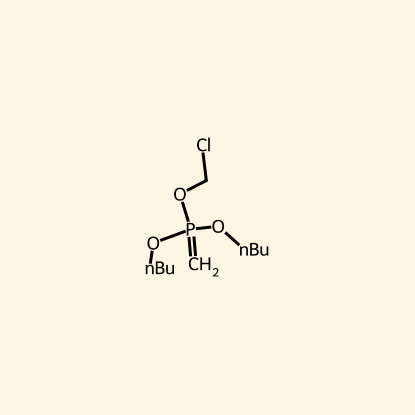 C=P(OCCl)(OCCCC)OCCCC